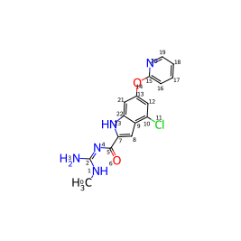 CNC(N)=NC(=O)c1cc2c(Cl)cc(Oc3ccccn3)cc2[nH]1